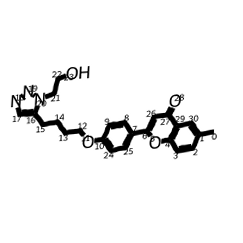 Cc1ccc2oc(-c3ccc(OCCCCc4cnnn4CCO)cc3)cc(=O)c2c1